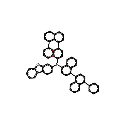 c1ccc(-c2ccc(-c3ccc(N(c4ccc(-c5cccc6cccc(-c7ccccc7)c56)cc4)c4ccc5c(c4)oc4ccccc45)c4ccccc34)c3ccccc23)cc1